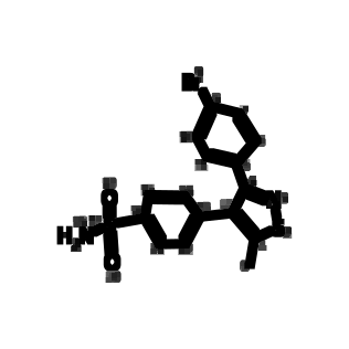 Cc1snc(-c2ccc(Br)cc2)c1-c1ccc(S(N)(=O)=O)cc1